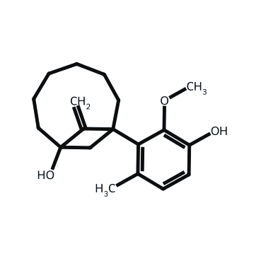 C=C1C2(O)CCCCCCC1(c1c(C)ccc(O)c1OC)C2